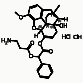 COc1ccc2c3c1O[C@H]1C(OC(=O)C(OC(=O)CCN)c4ccccc4)=CC[C@@]4(O)[C@@H](C2)N(C)CC[C@]314.Cl.Cl